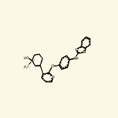 C[C@@]1(O)CCCC(c2cccnc2Oc2ccc(Nc3nc4ccccc4s3)cc2)C1